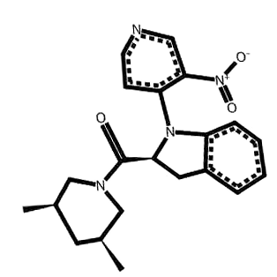 C[C@@H]1C[C@H](C)CN(C(=O)[C@@H]2Cc3ccccc3N2c2ccncc2[N+](=O)[O-])C1